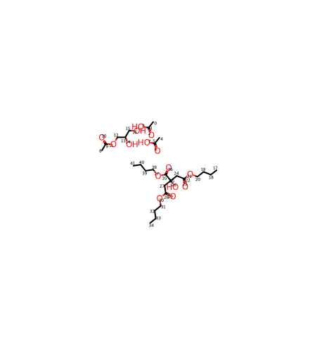 CC(=O)O.CC(=O)O.CC(=O)OCC(O)CO.CCCCOC(=O)CC(O)(CC(=O)OCCCC)C(=O)OCCCC